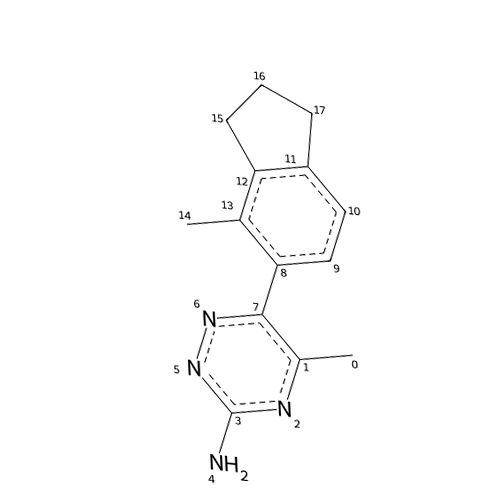 Cc1nc(N)nnc1-c1ccc2c(c1C)CCC2